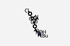 Cc1ncc2c(c1OC(=O)c1ccc(C(C)O/N=[N+](\O)N(C)C(C)(C)C)cc1)CO[C@H]2c1ccc(Cl)cc1